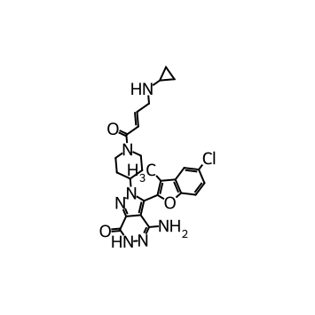 Cc1c(-c2c3c(N)n[nH]c(=O)c3nn2C2CCN(C(=O)/C=C/CNC3CC3)CC2)oc2ccc(Cl)cc12